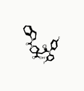 O=C(N1CCC(CC(=O)N(c2ccc(F)cc2)c2cccc(F)c2)(C(=O)O)CC1)N1CCc2ccccc21